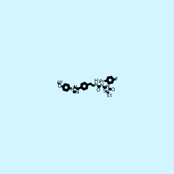 CCn1s/c(=N\C(=O)NCCc2ccc(-c3ncn(-c4ccc(OC(F)(F)F)cc4)n3)cc2)n(-c2cc(F)ccc2C(C)C)c1=O